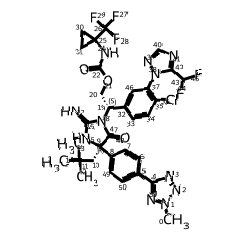 Cn1nnc(-c2ccc([C@@]3(CC(C)(C)C)NC(=N)N([C@H](COC(=O)NC4(C(F)(F)F)CC4)c4ccc(Cl)c(-n5ncnc5C(F)F)c4)C3=O)cc2)n1